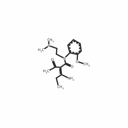 CCC(N)=C(C(C)=O)C(=O)N(CCN(C)C)c1ccccc1OC